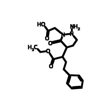 CCOC(=O)C(CCc1ccccc1)C1CCN(N)N(CC(=O)O)C1=O